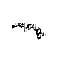 Fc1cc2[nH]cnc2cc1CNc1nccc(Nc2cc(C3CC3)[nH]n2)n1